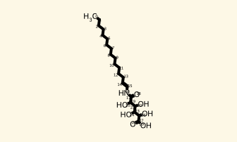 CCCCCCCCCCCCCCC=CNC(=O)C(O)C(O)C(O)C(O)C(=O)O